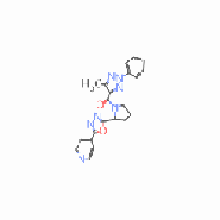 Cc1nn(-c2ccccc2)nc1C(=O)N1CCCC1c1nnc(-c2ccncc2)o1